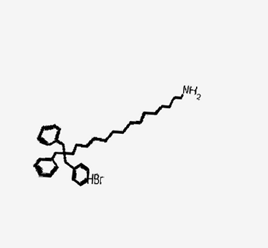 Br.NCCCCCCCCCCCCCCCC(Cc1ccccc1)(Cc1ccccc1)Cc1ccccc1